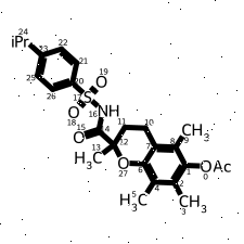 CC(=O)Oc1c(C)c(C)c2c(c1C)CCC(C)(C(=O)NS(=O)(=O)c1ccc(C(C)C)cc1)O2